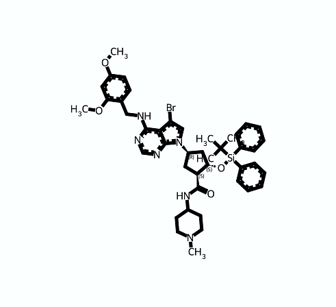 COc1ccc(CNc2ncnc3c2c(Br)cn3[C@H]2C[C@H](O[Si](c3ccccc3)(c3ccccc3)C(C)(C)C)[C@@H](C(=O)NC3CCN(C)CC3)C2)c(OC)c1